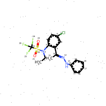 CCN(c1ccc(Cl)cc1C(C)=NNc1ccccc1)S(=O)(=O)C(F)(F)F